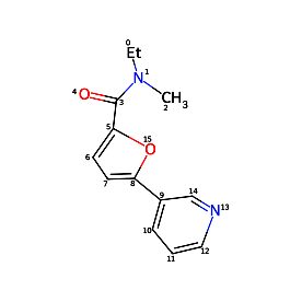 CCN(C)C(=O)c1ccc(-c2cccnc2)o1